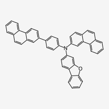 c1ccc2c(c1)ccc1cc(-c3ccc(N(c4ccc5c(c4)oc4ccccc45)c4ccc5ccc6ccccc6c5c4)cc3)ccc12